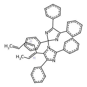 C=C/C=C\C(=C/C)c1c(-c2ccccc2)nc(-c2ccccc2)n1C1(c2ccccc2)N=C(c2ccccc2)C(c2ccccc2)=N1